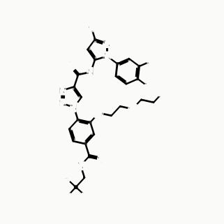 Cc1cc(NC(=O)c2cn(-c3ccc(C(=O)NCC(F)(F)F)cc3OCCOCCF)nn2)n(-c2ccc(F)c(Cl)c2)n1